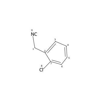 [C-]#[N+]Cc1ccccc1Cl